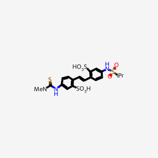 CNC(=S)Nc1ccc(C=Cc2ccc(NS(=O)(=O)C(C)C)cc2S(=O)(=O)O)c(S(=O)(=O)O)c1